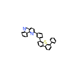 c1ccc(-c2cccc3c2sc2c(-c4cccc(-c5ccc6cnc7ccccc7c6n5)c4)cccc23)cc1